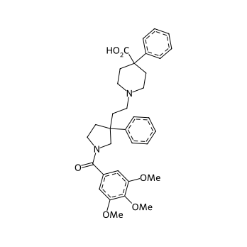 COc1cc(C(=O)N2CCC(CCN3CCC(C(=O)O)(c4ccccc4)CC3)(c3ccccc3)C2)cc(OC)c1OC